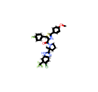 COc1ccc(-c2nc(C(=O)N3CCCC3(C)c3nc4cc(Cl)c(C(F)(F)F)cc4[nH]3)c(-c3ccc(F)cc3)s2)cc1